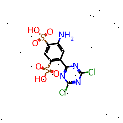 Nc1cc(-c2nc(Cl)nc(Cl)n2)c(S(=O)(=O)O)cc1S(=O)(=O)O